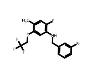 Cc1cc(F)c(NCc2cccc(Br)c2)cc1SCC(F)(F)F